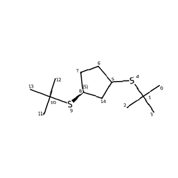 CC(C)(C)SC1CC[C@H](SC(C)(C)C)C1